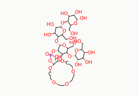 O=P(O)(OC1COCCOCCOCCOCCO1)O[C@H]1C(O)[C@H](O[C@@H]2OC(CO)[C@@H](O)C(O)[C@@H]2O)C(CO)O[C@H]1O[C@@H]1C(CO)O[C@@H](O[C@@H]2C(CO)O[C@@H](O)[C@@H](O)C2O)[C@@H](O)C1O